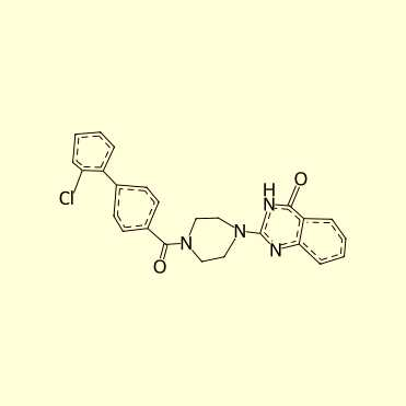 O=C(c1ccc(-c2ccccc2Cl)cc1)N1CCN(c2nc3ccccc3c(=O)[nH]2)CC1